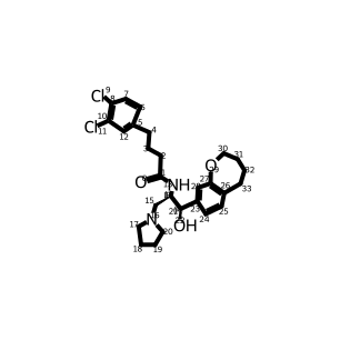 O=C(CCCc1ccc(Cl)c(Cl)c1)N[C@H](CN1CCCC1)[C@H](O)c1ccc2c(c1)OCCCC2